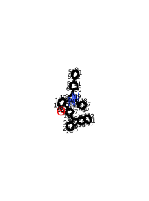 c1ccc(-c2ccc(-c3cc(-c4cccc5oc6cc(C7c8ccccc8-c8cc9ccccc9cc87)ccc6c45)nc(-c4ccccc4)n3)cc2)cc1